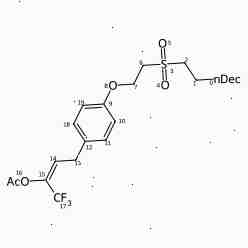 CCCCCCCCCCCCS(=O)(=O)CCOc1ccc(CC=C(OC(C)=O)C(F)(F)F)cc1